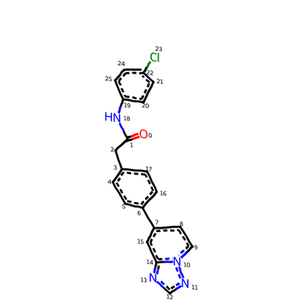 O=C(Cc1ccc(-c2ccn3ncnc3c2)cc1)Nc1ccc(Cl)cc1